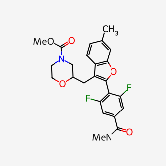 CNC(=O)c1cc(F)c(-c2oc3cc(C)ccc3c2CC2CN(C(=O)OC)CCO2)c(F)c1